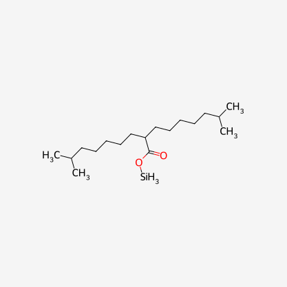 CC(C)CCCCCC(CCCCCC(C)C)C(=O)O[SiH3]